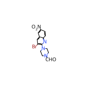 O=CN1CCN(c2nc3ccc([N+](=O)[O-])cc3cc2Br)CC1